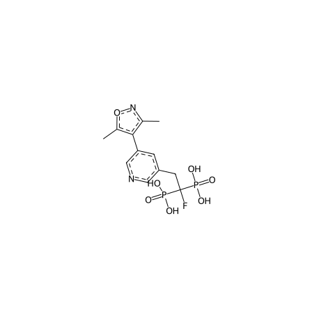 Cc1noc(C)c1-c1cncc(CC(F)(P(=O)(O)O)P(=O)(O)O)c1